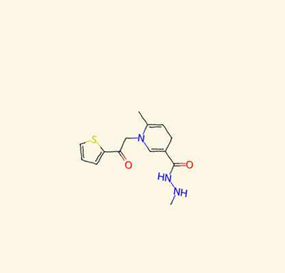 CNNC(=O)C1=CN(CC(=O)c2cccs2)C(C)=CC1